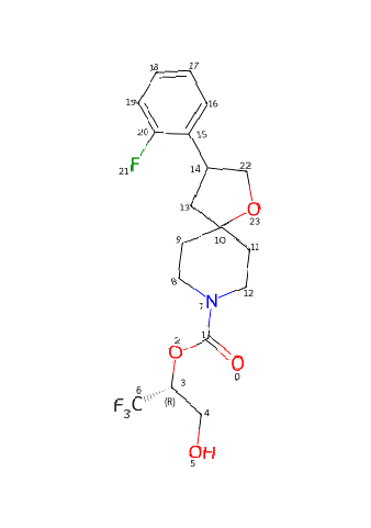 O=C(O[C@H](CO)C(F)(F)F)N1CCC2(CC1)CC(c1ccccc1F)CO2